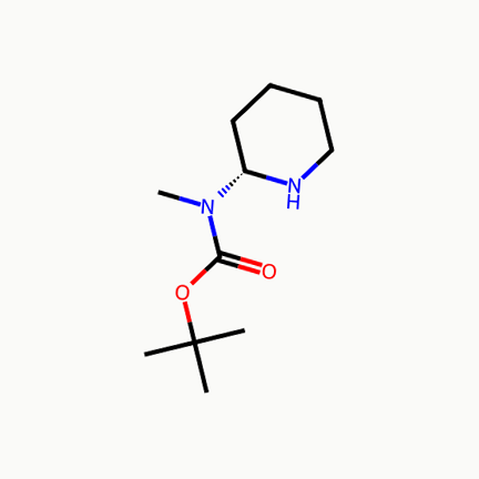 CN(C(=O)OC(C)(C)C)[C@@H]1CCCCN1